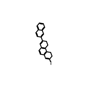 IC1=Cc2ccc3c(c2CC1)CCC(c1ccc2ccccc2c1)=C3